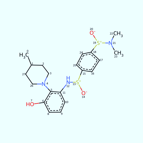 CC1CCN(c2c(O)cccc2N[S+]([O-])c2ccc([S+]([O-])N(C)C)cc2)CC1